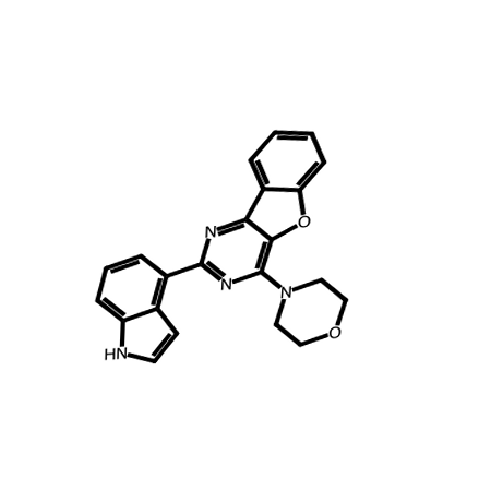 c1cc(-c2nc(N3CCOCC3)c3oc4ccccc4c3n2)c2cc[nH]c2c1